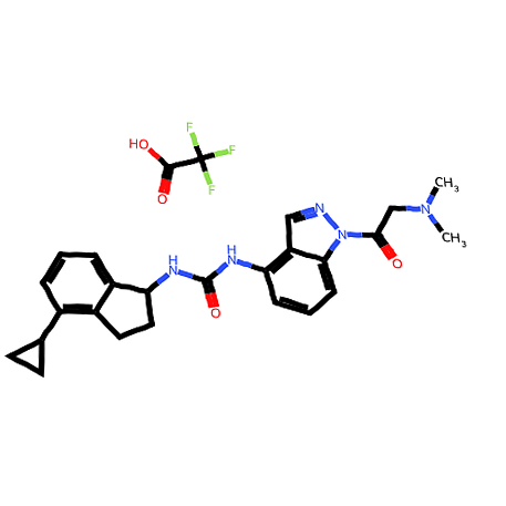 CN(C)CC(=O)n1ncc2c(NC(=O)NC3CCc4c(C5CC5)cccc43)cccc21.O=C(O)C(F)(F)F